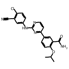 CC(C)Oc1ccc(-c2ccnc(Nc3ccc(Cl)c(C#N)c3)n2)cc1C(N)=O